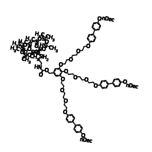 CCCCCCCCCCOc1ccc(-c2ccc(OCCOCCOCCOc3cc(COC(=O)NCC[SiH2]O[Si]45O[SiH](C)O[Si](C)(C)O[Si](C)(C[Si]6(C)O[Si](C)(C)O[SiH](C)O[Si](C)(O6)O4)O5)cc(OCCOCCOCCOc4ccc(-c5ccc(OCCCCCCCCCC)cc5)cc4)c3OCCOCCOCCOc3ccc(-c4ccc(OCCCCCCCCCC)cc4)cc3)cc2)cc1